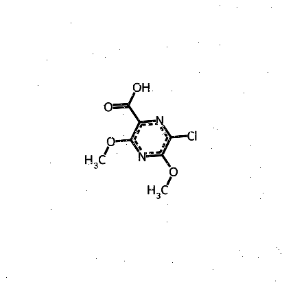 COc1nc(OC)c(C(=O)O)nc1Cl